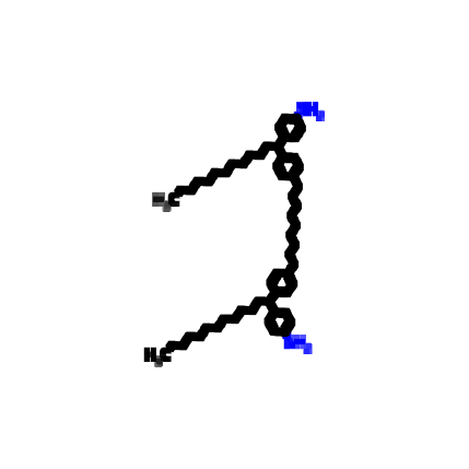 CCCCCCCCCCCCC(c1ccc(N)cc1)c1ccc(CCCCCCCCCc2ccc(C(CCCCCCCCCCCC)c3ccc(N)cc3)cc2)cc1